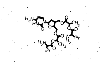 CC(OC(=O)C(N)C(C)C)C(=O)OCC1CC(N2C=CC(N)NC2=O)OC1COC(=O)C(C)OC(=O)C(N)C(C)C